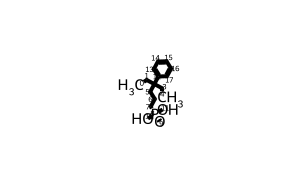 CCC(CC)(CCCP(=O)(O)O)c1ccccc1